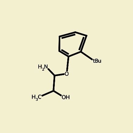 CC(O)C(N)Oc1ccccc1C(C)(C)C